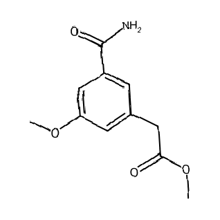 COC(=O)Cc1cc(OC)cc(C(N)=O)c1